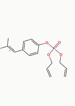 C=CCOP(=O)(OCC=C)Oc1ccc(/C=C(\C)I)cc1